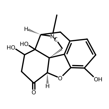 CN1CC[C@]23c4c5ccc(O)c4O[C@H]2C(=O)CC(O)C3(O)[C@H]1C5